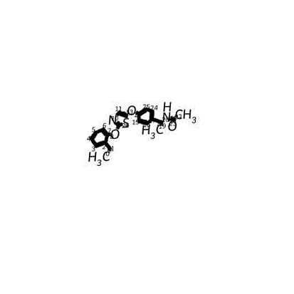 CCc1ccccc1Oc1ncc(Oc2ccc(C(C)NC(C)=O)cc2)s1